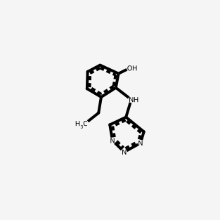 CCc1cccc(O)c1Nc1cnnnc1